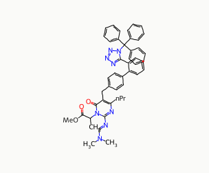 CCCc1nc(N=CN(C)C)n(C(C)C(=O)OC)c(=O)c1Cc1ccc(-c2ccccc2-c2nnnn2C(c2ccccc2)(c2ccccc2)c2ccccc2)cc1